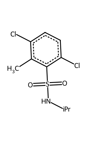 Cc1c(Cl)ccc(Cl)c1S(=O)(=O)NC(C)C